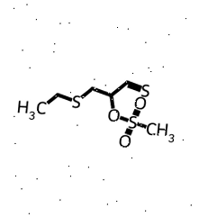 CCSCC(C=S)OS(C)(=O)=O